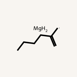 [CH2]C(=C)CCCC.[MgH2]